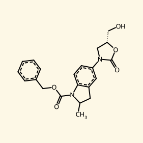 CC1Cc2cc(N3C[C@H](CO)OC3=O)ccc2N1C(=O)OCc1ccccc1